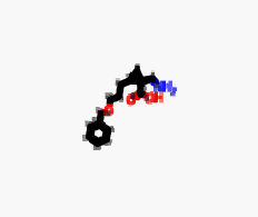 NCC1(C(=O)O)CC1CCCOCc1ccccc1